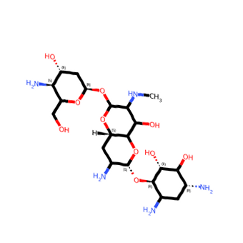 CNC1C(O[C@@H]2C[C@@H](O)[C@H](N)C(CO)O2)O[C@H]2CC(N)[C@@H](O[C@@H]3C(N)C[C@@H](N)C(O)[C@H]3O)OC2C1O